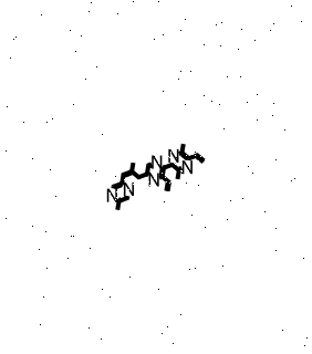 C=Cc1nc(C)c(-c2ncc(C/C(C)=C\c3cnc(C)cn3)nc2C=C)nc1C